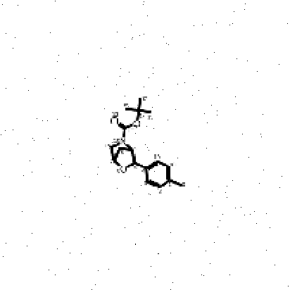 Cc1ccc(C2OC3CC2N(C(=O)OC(C)(C)C)C3)cc1